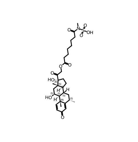 C[C@H]1C[C@@H]2[C@H]([C@@H](O)C[C@@]3(C)[C@H]2CC[C@]3(O)C(=O)COC(=O)CCCCCCC(=O)N(C)S(=O)(=O)O)[C@@]2(C)C=CC(=O)C=C12